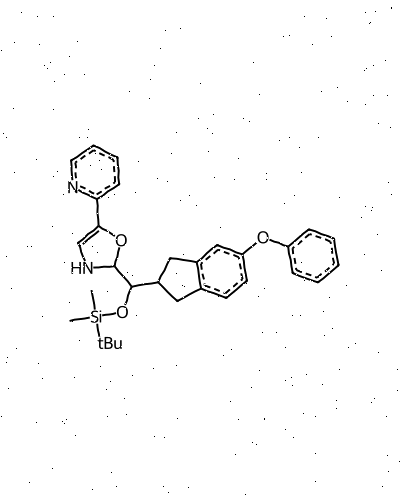 CC(C)(C)[Si](C)(C)OC(C1Cc2ccc(Oc3ccccc3)cc2C1)C1NC=C(c2ccccn2)O1